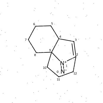 [N-]=[N+]1C2=CC3CCCCC31CCC2